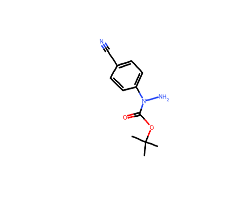 CC(C)(C)OC(=O)N(N)c1ccc(C#N)cc1